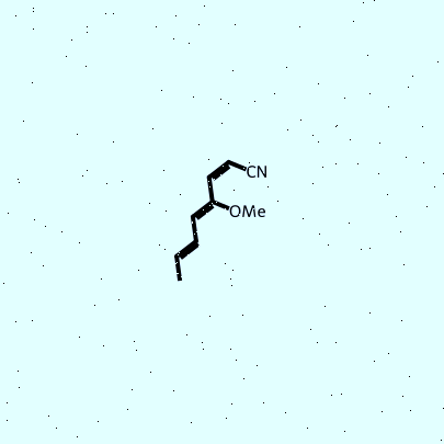 C/C=C/C=C(/C=C\C#N)OC